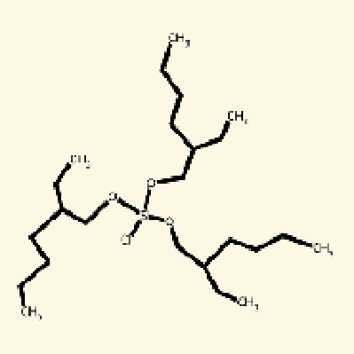 CCCCC(CC)CO[Si](Cl)(OCC(CC)CCCC)OCC(CC)CCCC